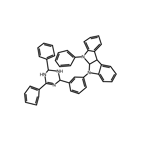 c1ccc(C2=NC(c3cccc(N4c5ccccc5C5c6ccccc6N(c6ccccc6)C54)c3)NC(c3ccccc3)N2)cc1